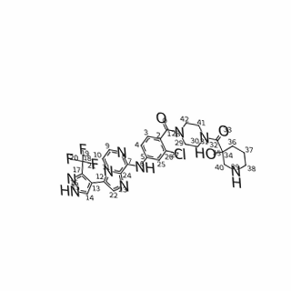 O=C(c1ccc(Nc2nccn3c(-c4c[nH]nc4C(F)(F)F)cnc23)cc1Cl)N1CCN(C(=O)C2(O)CCCNC2)CC1